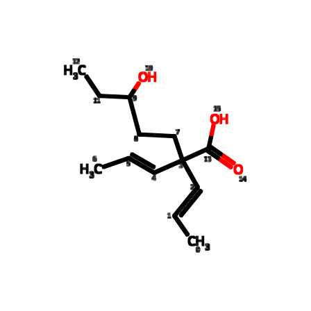 CC=CC(C=CC)(CCC(O)CC)C(=O)O